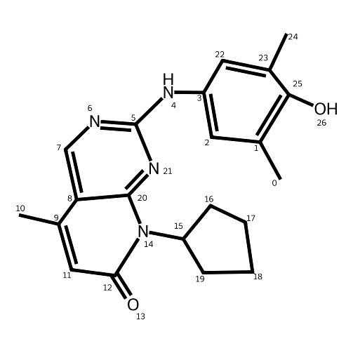 Cc1cc(Nc2ncc3c(C)cc(=O)n(C4CCCC4)c3n2)cc(C)c1O